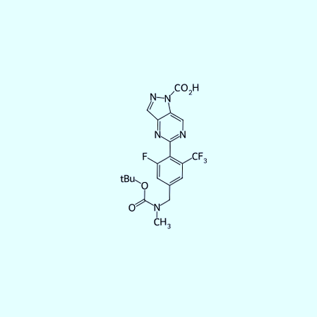 CN(Cc1cc(F)c(-c2ncc3c(cnn3C(=O)O)n2)c(C(F)(F)F)c1)C(=O)OC(C)(C)C